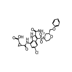 NC(=O)c1[nH]c2c(NC(=O)C3CC3C(=O)O)cc(Cl)cc2c1S(=O)(=O)N1CCO[C@H](COc2ccccc2)C1